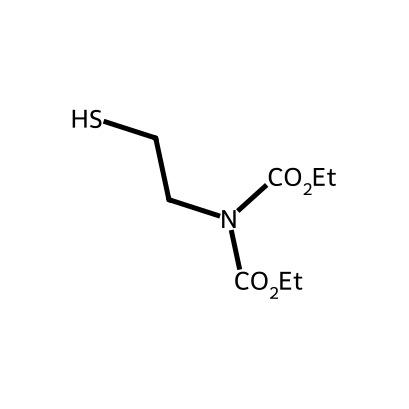 CCOC(=O)N(CCS)C(=O)OCC